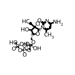 C#CC1(Cl)C(O)[C@@H](COP(=O)(O)OP(=O)(O)OP(=O)(O)O)O[C@H]1n1c(C)cc(N)nc1=O